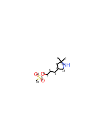 CC1(C)CC(CCCOS(C)(=O)=O)CN1